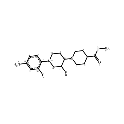 CC(C)(C)OC(=O)C1CCN(C2CCN(c3ccc(N)cc3F)CC2F)CC1